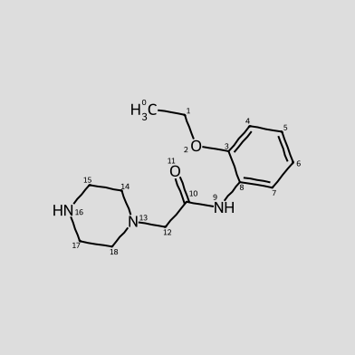 CCOc1ccccc1NC(=O)CN1CCNCC1